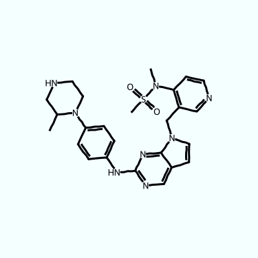 CC1CNCCN1c1ccc(Nc2ncc3ccn(Cc4cnccc4N(C)S(C)(=O)=O)c3n2)cc1